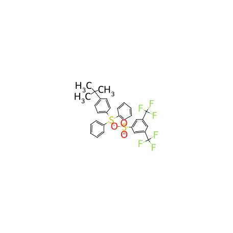 CC(C)(C)c1ccc(S(OS(=O)(=O)c2cc(C(F)(F)F)cc(C(F)(F)F)c2)(c2ccccc2)c2ccccc2)cc1